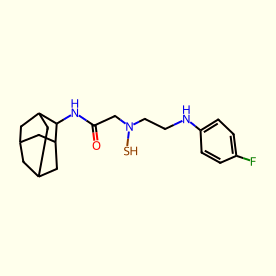 O=C(CN(S)CCNc1ccc(F)cc1)NC1C2CC3CC(C2)CC1C3